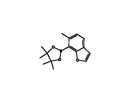 Cc1ccc2ccoc2c1B1OC(C)(C)C(C)(C)O1